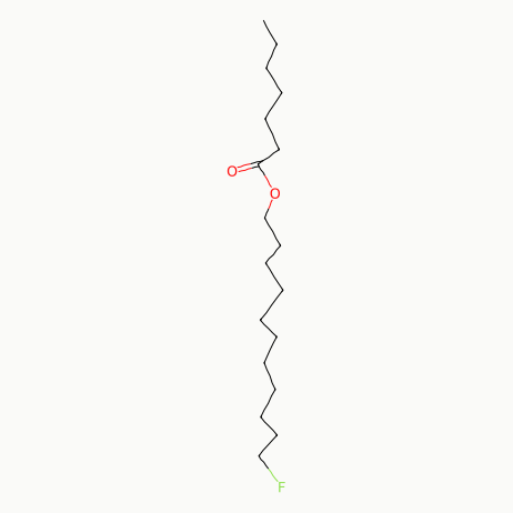 CCCCCCC(=O)OCCCCCCCCCCCF